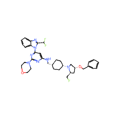 FC[C@@H]1C[C@@H](OCc2ccccc2)CN1[C@H]1CC[C@@H](CNc2cc(-n3c(C(F)F)nc4ccccc43)nc(N3CCOCC3)n2)CC1